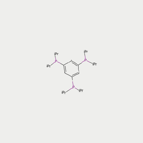 CC(C)P(c1[c]c(P(C(C)C)C(C)C)cc(P(C(C)C)C(C)C)c1)C(C)C